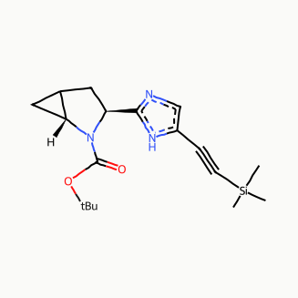 CC(C)(C)OC(=O)N1[C@@H]2CC2C[C@H]1c1ncc(C#C[Si](C)(C)C)[nH]1